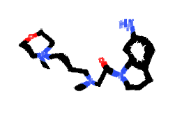 CN(CCC[N+]1(C)CCOCC1)CC(=O)N1CCCc2ccc(N)cc21